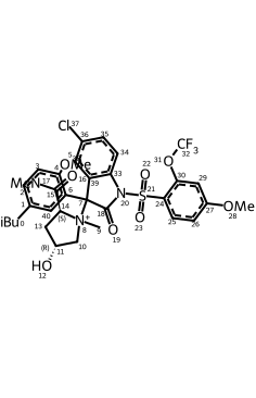 CCC(C)c1ccc(OC)c(C2([N+]3(C)C[C@H](O)C[C@H]3C(=O)NC)C(=O)N(S(=O)(=O)c3ccc(OC)cc3OC(F)(F)F)c3ccc(Cl)cc32)c1